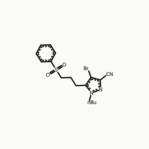 CCCCn1nc(C#N)c(Br)c1CCCS(=O)(=O)c1ccccc1